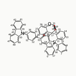 c1ccc([Si]2(c3ccccc3)c3ccccc3C3(c4ccccc4Oc4ccccc43)c3cc(-c4ccc(-n5c6ccccc6c6ccccc65)cc4)ccc32)cc1